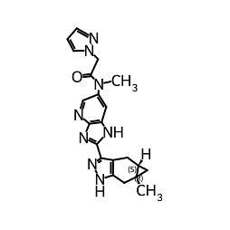 CN(C(=O)Cn1cccn1)c1cnc2nc(-c3n[nH]c4c3C[C@@H]3C[C@]3(C)C4)[nH]c2c1